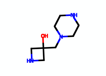 OC1(CN2CCNCC2)CNC1